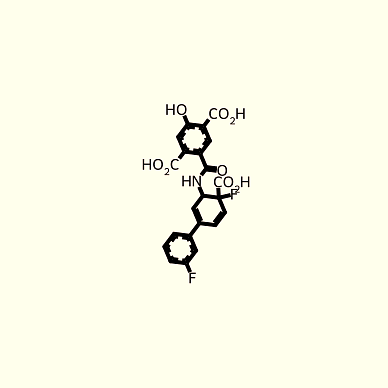 O=C(O)c1cc(C(=O)NC2C=C(c3cccc(F)c3)C=CC2(F)C(=O)O)c(C(=O)O)cc1O